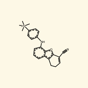 C[SH](C)(C)(C)c1ccc(Nc2cccc3c4c(oc23)C(C#N)=CCC4)cc1